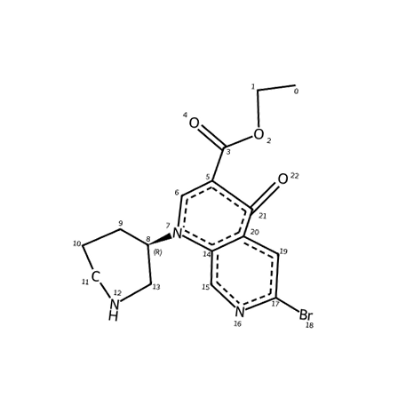 CCOC(=O)c1cn([C@@H]2CCCNC2)c2cnc(Br)cc2c1=O